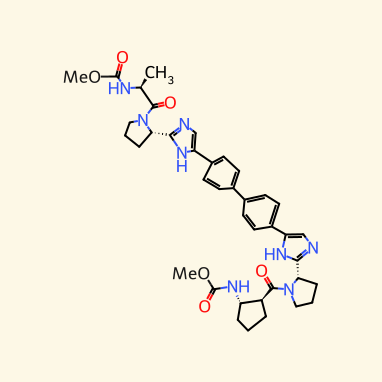 COC(=O)N[C@@H](C)C(=O)N1CCC[C@H]1c1ncc(-c2ccc(-c3ccc(-c4cnc([C@@H]5CCCN5C(=O)[C@H]5CCC[C@@H]5NC(=O)OC)[nH]4)cc3)cc2)[nH]1